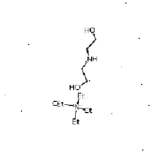 CC[N+](CC)(CC)CC.OCCNCCO.[Cl-]